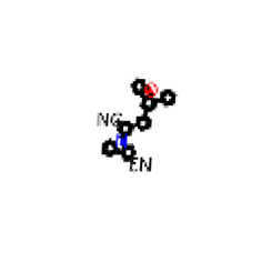 N#Cc1cc(-c2cccc(-c3cc(-c4ccccc4)c4oc5ccccc5c4c3)c2)cc(-n2c3ccccc3c3cc(C#N)ccc32)c1